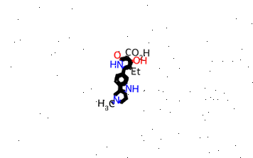 CCc1c(-c2ccc3c4c([nH]c3c2)CCN(C)C4)[nH]c(=O)c(C(=O)O)c1O